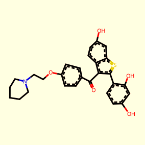 O=C(c1ccc(OCCN2CCCCC2)cc1)c1c(-c2ccc(O)cc2O)sc2cc(O)ccc12